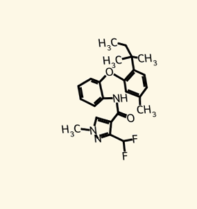 CCC(C)(C)c1ccc(C)cc1Oc1ccccc1NC(=O)c1cn(C)nc1C(F)F